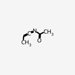 CC=C=NC(C)=O